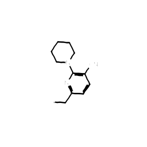 N#Cc1ccc(CCl)nc1N1CCCCC1